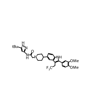 COc1ccc(-c2[nH]c3ccc(C4CCN(CC(=O)Nc5cc(C(C)(C)C)[nH]n5)CC4)cc3c2CC(F)(F)F)cc1OC